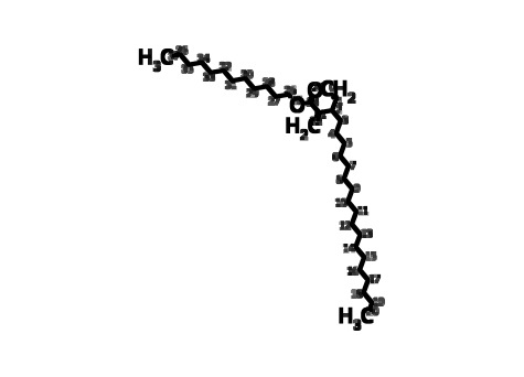 C=CC(CCCCCCCCCCCCCCCCCC)C(=C)C(=O)OCCCCCCCCCCCC